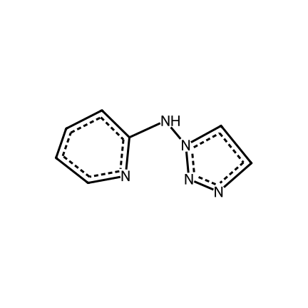 c1ccc(Nn2ccnn2)nc1